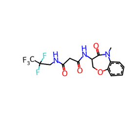 CN1C(=O)C(NC(=O)CC(=O)NCC(F)(F)C(F)(F)F)COc2ccccc21